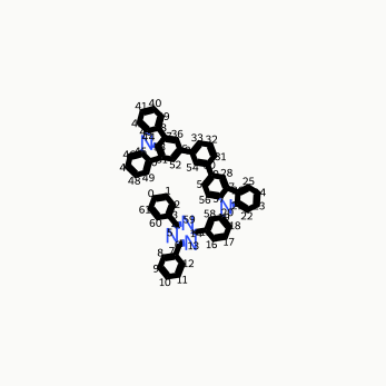 c1ccc(-c2nc(-c3ccccc3)nc(-c3cccc(-n4c5ccccc5c5cc(-c6cccc(-c7cc8c9ccccc9n9c%10ccccc%10c(c7)c89)c6)ccc54)c3)n2)cc1